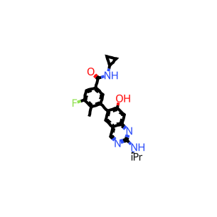 Cc1c(F)cc(C(=O)NC2CC2)cc1-c1cc2cnc(NC(C)C)nc2cc1O